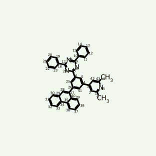 Cc1cc(-c2cc(-c3nc(-c4ccccc4)nc(-c4ccccc4)n3)cc(-c3cc4ccccc4c4ccccc34)c2)cc(C)n1